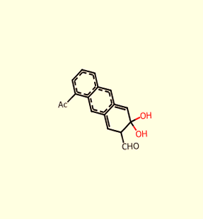 CC(=O)c1cccc2cc3c(cc12)=CC(C=O)C(O)(O)C=3